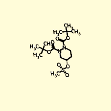 CC(C)(C)OC(=O)N1CC[C@H](OS(C)(=O)=O)CN1C(=O)OC(C)(C)C